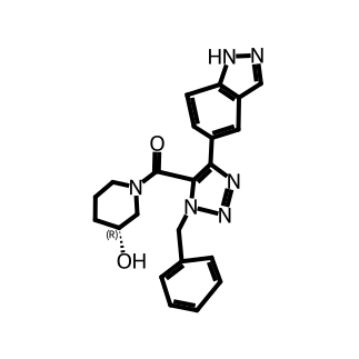 O=C(c1c(-c2ccc3[nH]ncc3c2)nnn1Cc1ccccc1)N1CCC[C@@H](O)C1